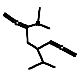 C=C=CC(CC(=C=C)N(C)C)C(C)C